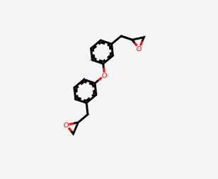 [c]1ccc(CC2CO2)cc1Oc1[c]ccc(CC2CO2)c1